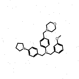 COc1cccc(CN(Cc2ccc(N3CCCC3)cc2)c2ccc(CN3CCOCC3)cc2)c1